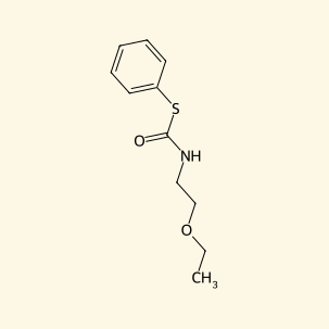 CCOCCNC(=O)Sc1ccccc1